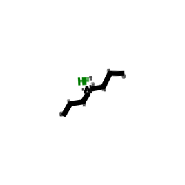 CC[CH2][Al][CH2]CC.F